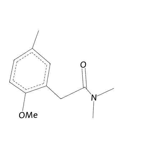 COc1ccc(C)cc1CC(=O)N(C)C